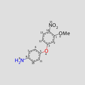 COc1cc(Oc2ccc(N)cc2)ccc1[N+](=O)[O-]